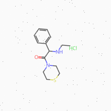 CCNC(C(=O)N1CCSCC1)c1ccccc1.Cl